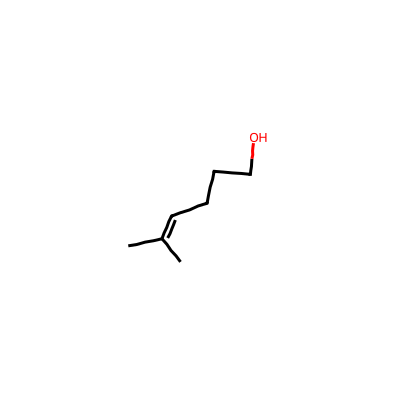 CC(C)=CCCCO